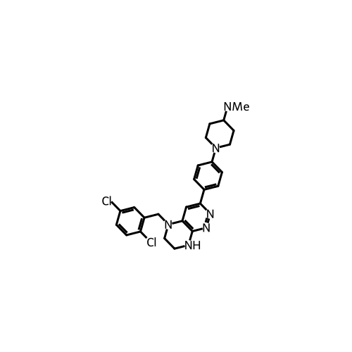 CNC1CCN(c2ccc(-c3cc4c(nn3)NCCN4Cc3cc(Cl)ccc3Cl)cc2)CC1